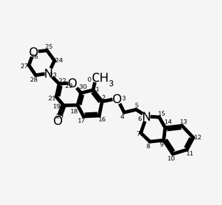 Cc1c(OCCN2CCc3ccccc3C2)ccc2c(=O)cc(N3CCOCC3)oc12